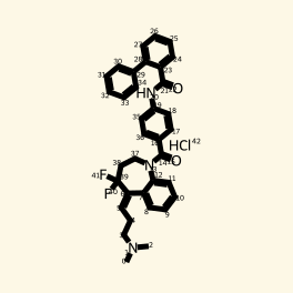 CN(C)CC/C=C1\c2ccccc2N(C(=O)c2ccc(NC(=O)c3ccccc3-c3ccccc3)cc2)CCC1(F)F.Cl